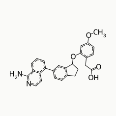 COc1ccc(CC(=O)O)c(OC2CCc3ccc(-c4cccc5c(N)nccc45)cc32)c1